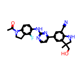 CC(=O)N1CCc2c1ccc(Nc1nccc(-c3cc(C#N)c4c(c3)C(C)(CO)CN4)n1)c2F